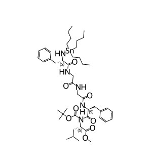 CCC[CH2][Sn]([CH2]CCC)([CH2]CCC)[NH][C@@H](Cc1ccccc1)C(=O)NCC(=O)NCC(=O)N[C@@H](Cc1ccccc1)C(=O)N(C(=O)OC(C)(C)C)[C@@H](CC(C)C)C(=O)OC